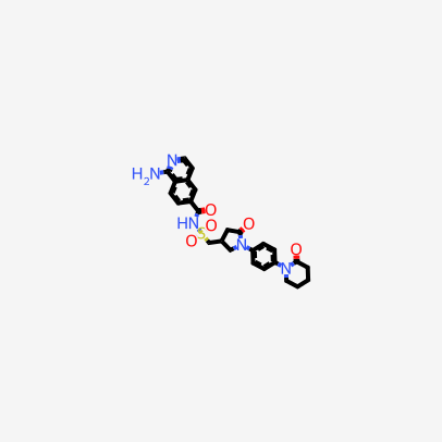 Nc1nccc2cc(C(=O)NS(=O)(=O)CC3CC(=O)N(c4ccc(N5CCCCC5=O)cc4)C3)ccc12